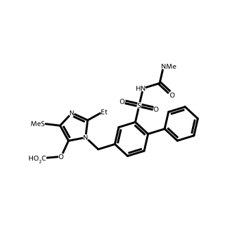 CCc1nc(SC)c(OC(=O)O)n1Cc1ccc(-c2ccccc2)c(S(=O)(=O)NC(=O)NC)c1